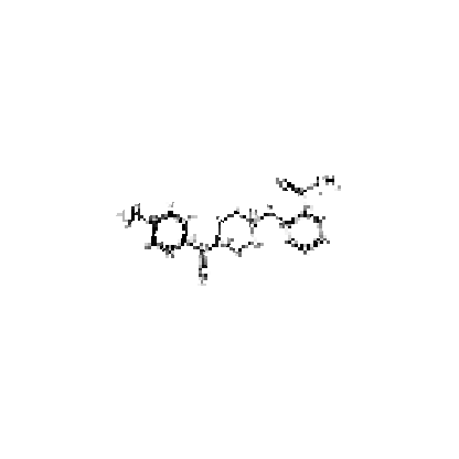 CC(=O)c1ccccc1CN1CCN(C(=O)c2ccc(N)cc2)CC1